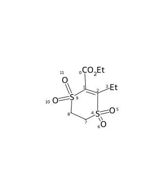 CCOC(=O)C1=C(CC)S(=O)(=O)CCS1(=O)=O